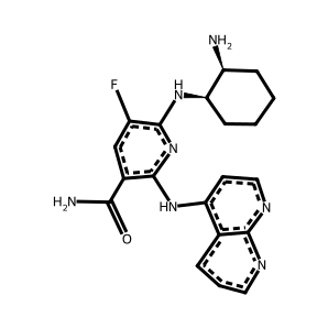 NC(=O)c1cc(F)c(N[C@@H]2CCCC[C@@H]2N)nc1Nc1ccnc2ncccc12